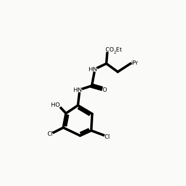 CCOC(=O)C(CC(C)C)NC(=O)Nc1cc(Cl)cc(Cl)c1O